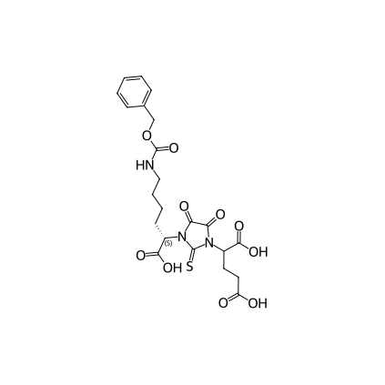 O=C(O)CCC(C(=O)O)N1C(=O)C(=O)N([C@@H](CCCCNC(=O)OCc2ccccc2)C(=O)O)C1=S